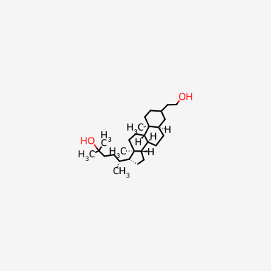 C[C@H](CCC(C)(C)O)[C@H]1CC[C@H]2[C@@H]3CC[C@@H]4CC(CCO)CC[C@]4(C)[C@H]3CC[C@]12C